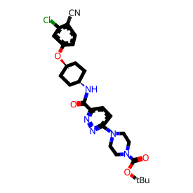 CC(C)(C)OC(=O)N1CCN(c2ccc(C(=O)N[C@H]3CC[C@H](Oc4ccc(C#N)c(Cl)c4)CC3)nn2)CC1